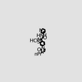 CCCN1CCN(c2ccc3c(C(=O)N[C@@H]4CN5CCC4CC5)nsc3c2)C1=O.Cl